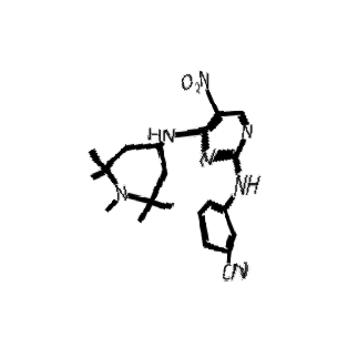 CN1C(C)(C)CC(Nc2nc(Nc3cccc(C#N)c3)ncc2[N+](=O)[O-])CC1(C)C